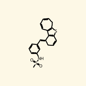 CS(=O)(=O)Nc1cccc(/C=C2\CC=Cc3sc4c(c32)C=CC=CC4)c1